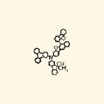 CC1(C)c2ccccc2-c2ccc(N(c3ccc4c(c3)oc3c(-c5cccc6c5oc5ccccc56)c5ccccc5cc34)c3ccc4c5ccccc5c5ccccc5c4c3)cc21